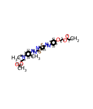 C=CC(=O)OCCOc1ccc(N=Nc2cc3sc(N=Nc4ccc(N(CC)CCOC(C)=O)cc4C)nc3s2)cc1